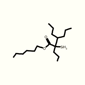 CCCCCCOC(=O)C([SiH3])(CCC)C(CCC)CCC